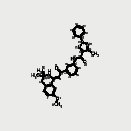 COc1ccc2c(c1)C(=CC(=O)c1cccc(NC(=O)c3nn(-c4ccccc4)nc3C)c1)NC(C)(C)C2